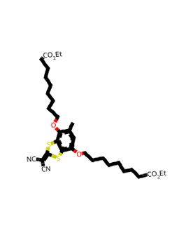 CCOC(=O)CCCCCCCCOc1cc(C)c(OCCCCCCCCC(=O)OCC)c2c1SC(=C(C#N)C#N)S2